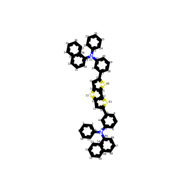 c1ccc(N(c2cccc(-c3cc4sc5cc(-c6cccc(N(c7ccccc7)c7cccc8ccccc78)c6)sc5c4s3)c2)c2cccc3ccccc23)cc1